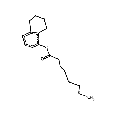 CCCCCCCC(=O)Oc1cccc2c1CCCC2